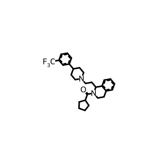 O=C(C1CCCC1)N1CCc2ccccc2C1CCN1CCC(c2cccc(C(F)(F)F)c2)CC1